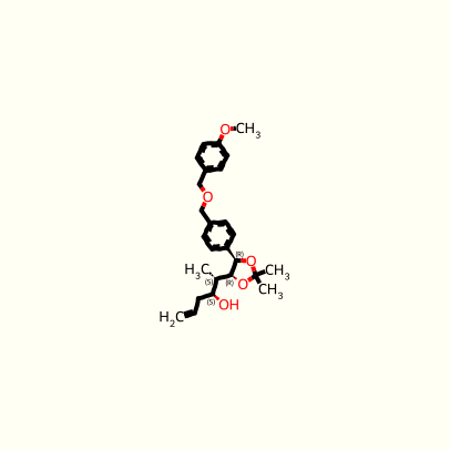 C=CC[C@H](O)[C@H](C)[C@H]1OC(C)(C)O[C@@H]1c1ccc(COCc2ccc(OC)cc2)cc1